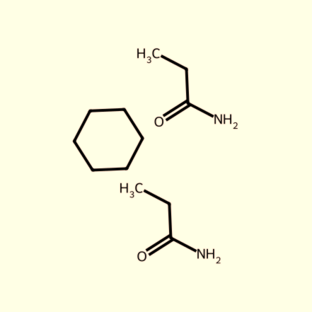 C1CCCCC1.CCC(N)=O.CCC(N)=O